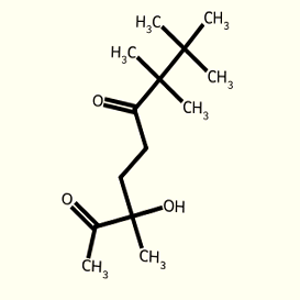 CC(=O)C(C)(O)CCC(=O)C(C)(C)C(C)(C)C